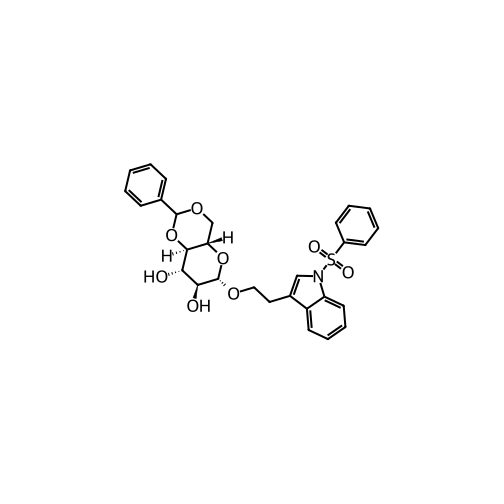 O=S(=O)(c1ccccc1)n1cc(CCO[C@H]2O[C@H]3COC(c4ccccc4)O[C@@H]3[C@@H](O)[C@@H]2O)c2ccccc21